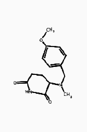 COc1ccc(CN(C)C2CCC(=O)NC2=O)cc1